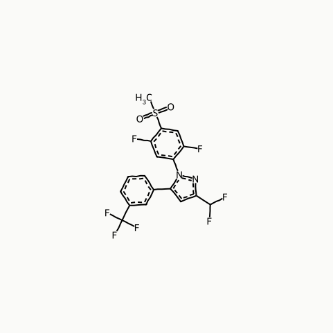 CS(=O)(=O)c1cc(F)c(-n2nc(C(F)F)cc2-c2cccc(C(F)(F)F)c2)cc1F